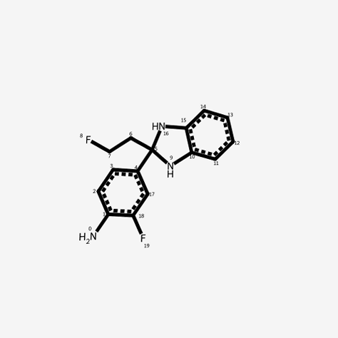 Nc1ccc(C2(CCF)Nc3ccccc3N2)cc1F